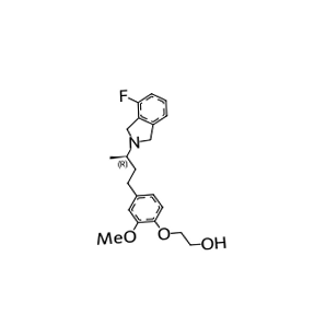 COc1cc(CC[C@@H](C)N2Cc3cccc(F)c3C2)ccc1OCCO